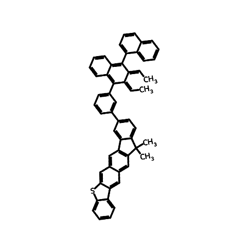 C/C=c1/c(-c2cccc(-c3ccc4c(c3)-c3cc5cc6sc7ccccc7c6cc5cc3C4(C)C)c2)c2ccccc2c(-c2cccc3ccccc23)/c1=C/C